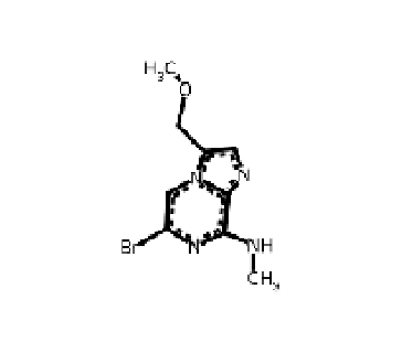 CNc1nc(Br)cn2c(COC)cnc12